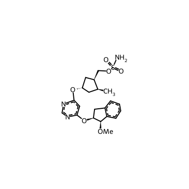 CO[C@@H]1c2ccccc2C[C@@H]1Oc1cc(O[C@@H]2C[C@@H](COS(N)(=O)=O)[C@@H](C)C2)ncn1